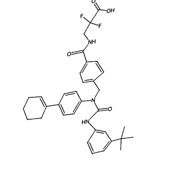 CC(C)(C)c1cccc(NC(=O)N(Cc2ccc(C(=O)NCC(F)(F)C(=O)O)cc2)c2ccc(C3=CCCCC3)cc2)c1